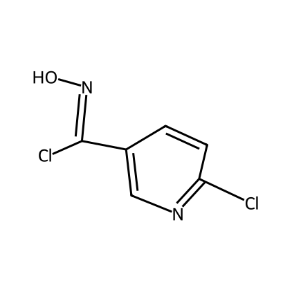 ON=C(Cl)c1ccc(Cl)nc1